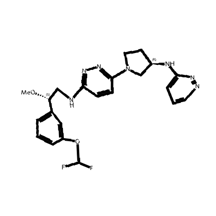 CO[C@H](CNc1ccc(N2CC[C@@H](Nc3cccnn3)C2)nn1)c1cccc(OC(F)F)c1